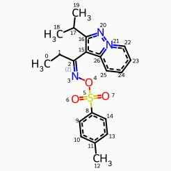 CC/C(=N/OS(=O)(=O)c1ccc(C)cc1)c1c(C(C)C)nn2ccccc12